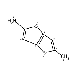 Cc1cc2sc(N)cc2s1